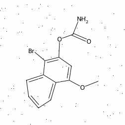 COc1cc(OC(N)=O)c(Br)c2ccccc12